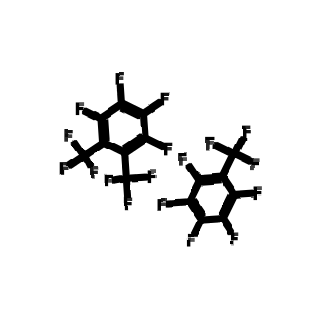 Fc1c(F)c(F)c(C(F)(F)F)c(C(F)(F)F)c1F.Fc1c(F)c(F)c(C(F)(F)F)c(F)c1F